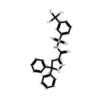 O=C(NS(=O)(=O)c1cccc(C(F)(F)F)c1)C1=NOC(c2ccccc2)(c2ccccc2)C1